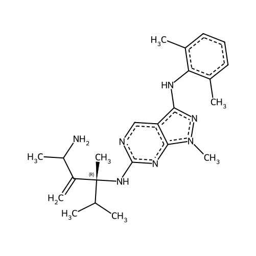 C=C(C(C)N)[C@](C)(Nc1ncc2c(Nc3c(C)cccc3C)nn(C)c2n1)C(C)C